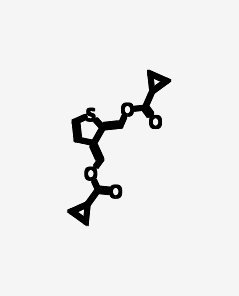 O=C(OC=c1ccsc1=COC(=O)C1CC1)C1CC1